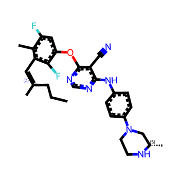 CCC/C(C)=C\c1c(C)c(F)cc(Oc2ncnc(Nc3ccc(N4CCN[C@@H](C)C4)cc3)c2C#N)c1F